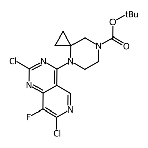 CC(C)(C)OC(=O)N1CCN(c2nc(Cl)nc3c(F)c(Cl)ncc23)C2(CC2)C1